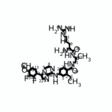 CCc1cc(Nc2nccn3c(-c4ccc(OC)c(F)c4F)cnc23)ccc1C(=O)NC[C@@H](C)NC(=O)[C@@H](N)CCCNC(=N)N